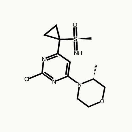 C[C@@H]1COCCN1c1cc(C2([S@@](C)(=N)=O)CC2)nc(Cl)n1